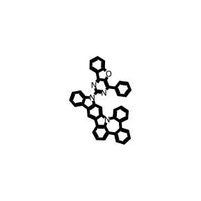 c1ccc(-c2nc(-n3c4ccccc4c4cc5c6cccc7c6n(c5cc43)-c3ccccc3-c3ccccc3-7)nc3c2oc2ccccc23)cc1